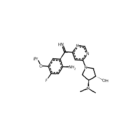 CC(C)Oc1cc(C(=N)c2cc(N3C[C@H](O)[C@@H](N(C)C)C3)ncn2)c(N)cc1F